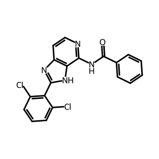 O=C(Nc1nccc2nc(-c3c(Cl)cccc3Cl)[nH]c12)c1ccccc1